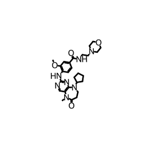 COc1cc(C(=O)NCCN2CCOCC2)ccc1Nc1ncc2c(n1)N(C1CCCC1)CCC(=O)N2C